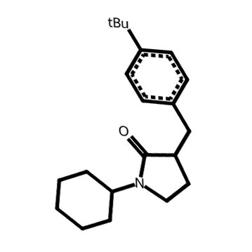 CC(C)(C)c1ccc(CC2CCN(C3CCCCC3)C2=O)cc1